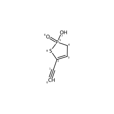 C#CC1=CCP(=O)(O)S1